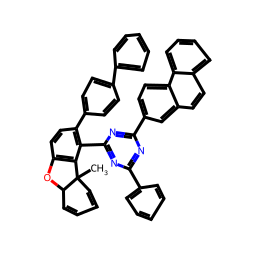 CC12C=CC=CC1Oc1ccc(-c3ccc(-c4ccccc4)cc3)c(-c3nc(-c4ccccc4)nc(-c4ccc5c(ccc6ccccc65)c4)n3)c12